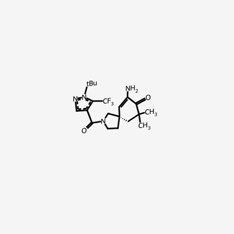 CC1(C)C[C@]2(C=C(N)C1=O)CCN(C(=O)c1cnn(C(C)(C)C)c1C(F)(F)F)C2